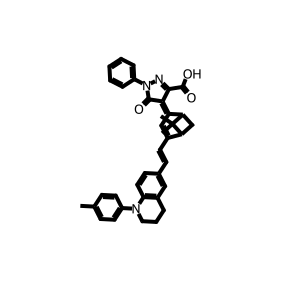 Cc1ccc(N2CCCc3cc(/C=C/C4=CC(=C5\C(=O)N(c6ccccc6)N=C5C(=O)O)/C5CC4C5(C)C)ccc32)cc1